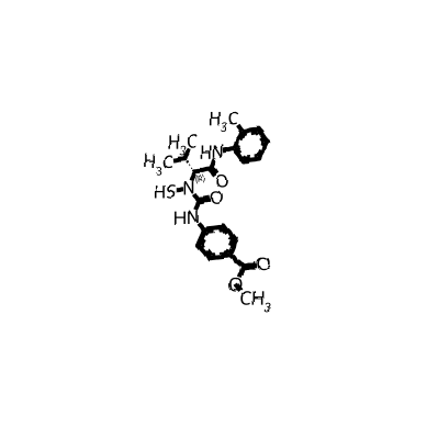 COC(=O)c1ccc(NC(=O)N(S)[C@@H](C(=O)Nc2ccccc2C)C(C)C)cc1